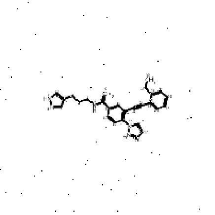 C=C(NCCCc1cn[nH]c1)c1ccc(-n2cccn2)c(C#Cc2ccccc2CC)c1